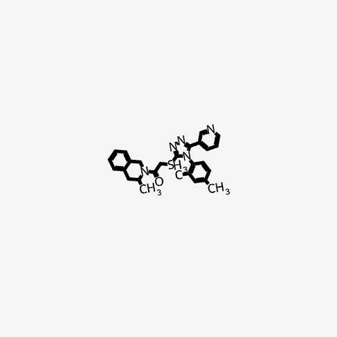 Cc1ccc(-n2c(SCC(=O)N3Cc4ccccc4CC3C)nnc2-c2cccnc2)c(C)c1